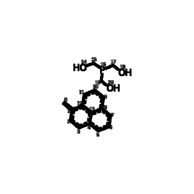 C=c1ccc2cccc3cccc1c32.OCP(CO)CO